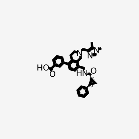 Cc1c(CN2CCc3c(-c4cccc(C(=O)O)c4)ccc(CNC(=O)[C@@H]4C[C@H]4c4ccccc4)c3C2)ncn1C